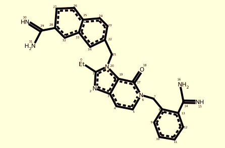 CCc1nc2ccn(Cc3ccccc3C(=N)N)c(=O)c2n1Cc1ccc2ccc(C(=N)N)cc2c1